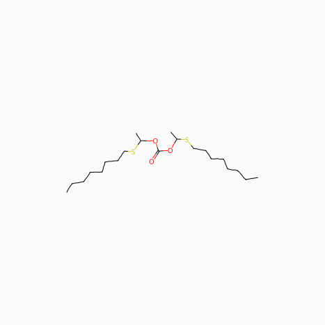 CCCCCCCCSC(C)OC(=O)OC(C)SCCCCCCCC